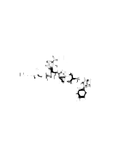 CC(C)(C)OC(=O)CON=C(C(=O)NC1C(=O)N2C(C(=O)O)=C(CSc3nnnn3-c3ccccc3)CS[C@@H]12)c1nsc(N)n1